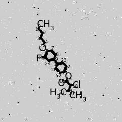 CCCCCOc1ccc(-c2ccc(OC(=O)C(Cl)C(C)C)cc2)cc1F